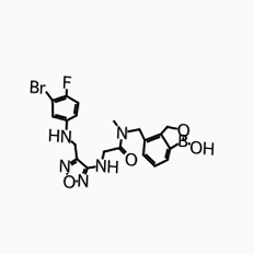 CN(Cc1cccc2c1COB2O)C(=O)CNc1nonc1CNc1ccc(F)c(Br)c1